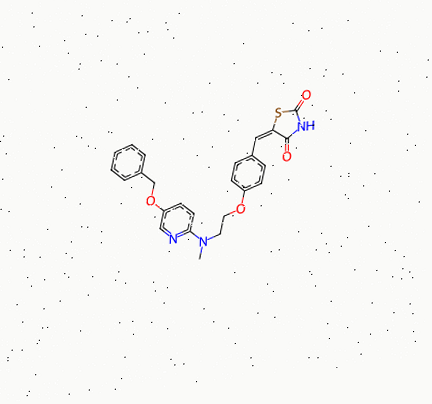 CN(CCOc1ccc(/C=C2/SC(=O)NC2=O)cc1)c1ccc(OCc2ccccc2)cn1